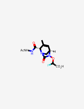 CC(=O)NNC(=O)[C@@H]1C(C)=C[C@@H]2CN1C(=O)N2OC(F)C(=O)O